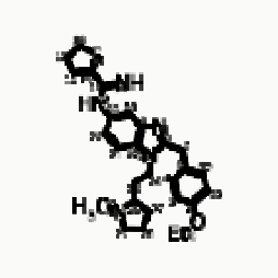 CCOc1ccc(Cc2nc3cc(NC(=N)C4=CCCS4)ccc3n2CCC2CCCN2C)cc1